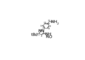 CC(C)(C)c1cc(NN=O)n(-c2ccc(CN)cc2)n1